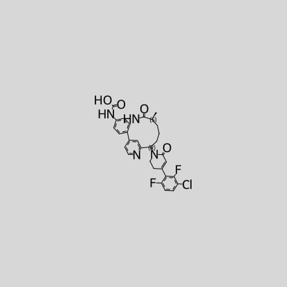 C[C@H]1CCC[C@@H](N2CCC(c3c(F)ccc(Cl)c3F)=CC2=O)c2cc(ccn2)-c2ccc(NC(=O)O)cc2NC1=O